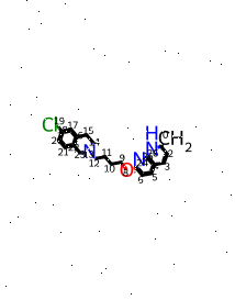 C=C1C=Cc2ccc(OCCCCN3CCc4cc(Cl)ccc4C3)nc2N1